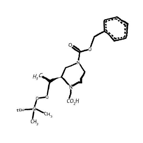 CC(OO[Si](C)(C)C(C)(C)C)[C@H]1CN(C(=O)OCc2ccccc2)CCN1C(=O)O